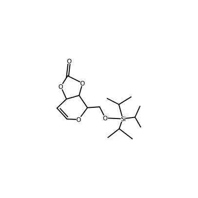 CC(C)[Si](OCC1OC=CC2OC(=O)OC21)(C(C)C)C(C)C